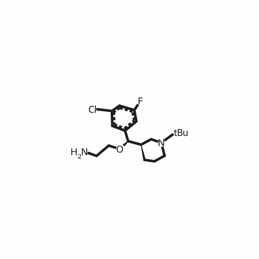 CC(C)(C)N1CCC[C@@H]([C@@H](OCCN)c2cc(F)cc(Cl)c2)C1